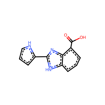 O=C(O)c1cccc2[nH]c(-c3ccc[nH]3)nc12